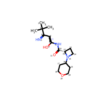 CC(C)(C)C(=N)/C=C(\O)NC(=O)[C@@H]1CCN1C1CCOCC1